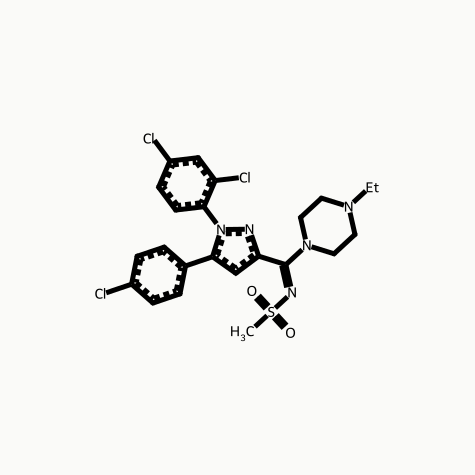 CCN1CCN(C(=NS(C)(=O)=O)c2cc(-c3ccc(Cl)cc3)n(-c3ccc(Cl)cc3Cl)n2)CC1